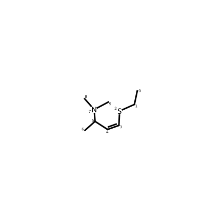 CCS/C=C\C(C)N(C)C